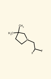 CC1(C)CCN(CC(F)F)C1